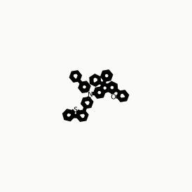 C1=CCCC(C2(c3ccccc3)c3cc(N(C4=CC=C(C5=c6sc7ccccc7c6=CCC5)CC4)c4ccc(C5=CCCC=C5)cc4)ccc3-c3c2ccc2c3OC3C=CC=CC23)=C1